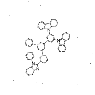 c1ccc(-c2cc(-c3cccc(-c4nc5ccccc5n4-c4ccccc4)c3)cc(-c3cc(-n4c5ccccc5c5ccccc54)cc(-n4c5ccccc5c5ccccc54)c3)c2)cc1